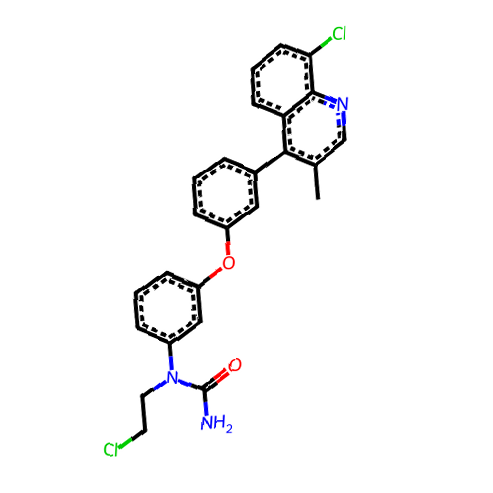 Cc1cnc2c(Cl)cccc2c1-c1cccc(Oc2cccc(N(CCCl)C(N)=O)c2)c1